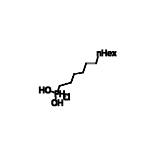 CCCCCCCCCCCC[PH](O)(O)Cl